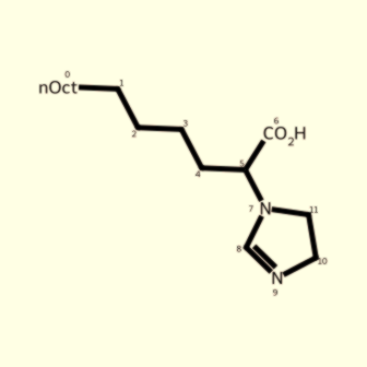 CCCCCCCCCCCCC(C(=O)O)N1C=NCC1